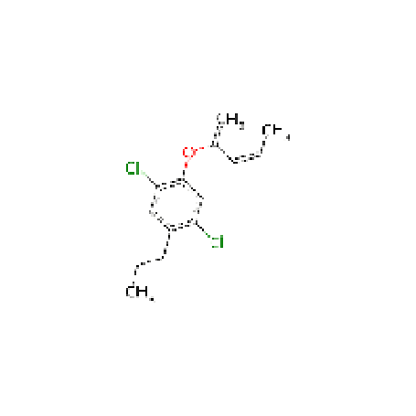 C=C(/C=C\C)Oc1cc(Cl)c(CCC)cc1Cl